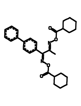 CC(=N\OC(=O)C1CCCCC1)/C(=N\OC(=O)C1CCCCC1)c1ccc(-c2ccccc2)cc1